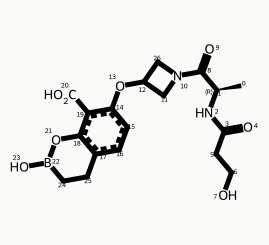 C[C@@H](NC(=O)CCO)C(=O)N1CC(Oc2ccc3c(c2C(=O)O)OB(O)CC3)C1